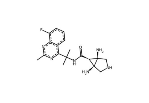 Cc1nc(C(C)(C)NC(=O)[C@H]2[C@]3(N)CNC[C@]23N)c2cccc(F)c2n1